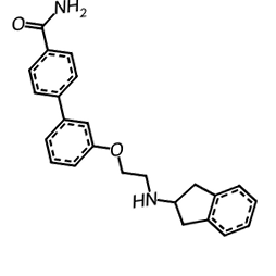 NC(=O)c1ccc(-c2cccc(OCCNC3Cc4ccccc4C3)c2)cc1